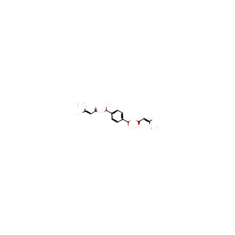 C/C(N)=C/C(=O)OC(O)c1ccc(C(O)OC(=O)/C=C(/C)N)cc1